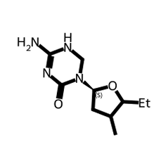 CCC1O[C@H](N2CNC(N)=NC2=O)CC1C